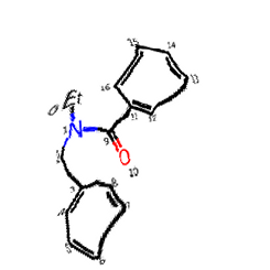 CCN(Cc1ccccc1)C(=O)c1ccccc1